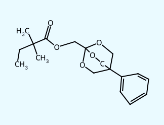 CCC(C)(C)C(=O)OCC12OCC(c3ccccc3)(CO1)CO2